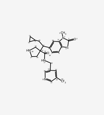 Cn1c(=O)sc2ccc(C(CC3CC3)C3(C(=O)NCc4cncc(C(F)(F)F)c4)CCNC3)cc21